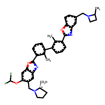 Cc1c(-c2nc3cc(CN4CCC4C)ccc3o2)cccc1-c1cccc(-c2nc3cc(CN4CCC[C@H]4C(=O)O)c(OC(F)F)cc3o2)c1C